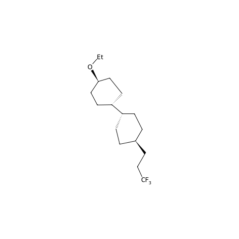 CCO[C@H]1CC[C@H]([C@H]2CC[C@H](CCC(F)(F)F)CC2)CC1